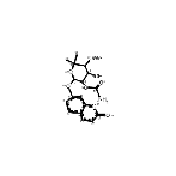 COC1C(O)C(OC(N)=O)C(Oc2ccc3ccc(=O)oc3c2)OC1(C)C